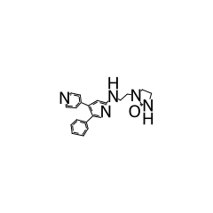 O=C1NCCN1CCNc1cc(-c2ccncc2)c(-c2ccccc2)cn1